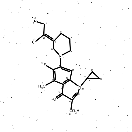 Cc1c(F)c(N2CCC/C(=C(/Cl)CN)C2)cc2c1c(=O)c(C(=O)O)cn2C1CC1